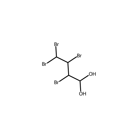 OC(O)C(Br)C(Br)C(Br)Br